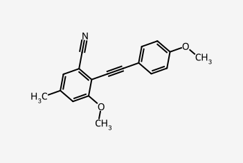 COc1ccc(C#Cc2c(C#N)cc(C)cc2OC)cc1